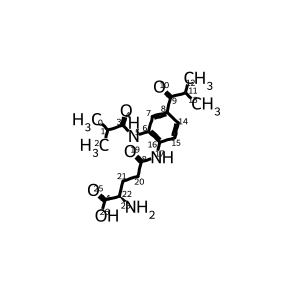 CC(C)C(=O)Nc1cc(C(=O)C(C)C)ccc1NC(=O)CC[C@@H](N)C(=O)O